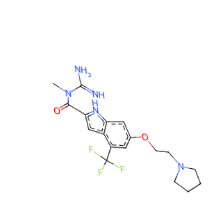 CN(C(=N)N)C(=O)c1cc2c(C(F)(F)F)cc(OCCN3CCCC3)cc2[nH]1